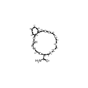 NC(=O)c1cccccccccccc2ccccc2o[nH]nncc1